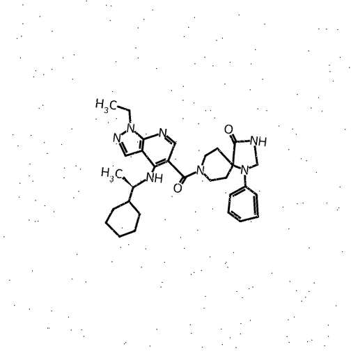 CCn1ncc2c(N[C@H](C)C3CCCCC3)c(C(=O)N3CCC4(CC3)C(=O)NCN4c3ccccc3)cnc21